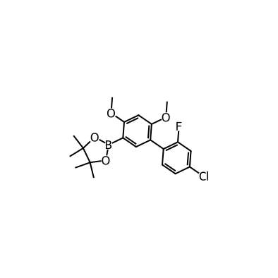 COc1cc(OC)c(-c2ccc(Cl)cc2F)cc1B1OC(C)(C)C(C)(C)O1